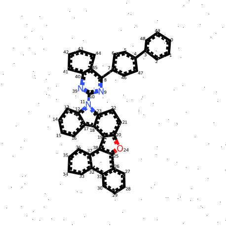 c1ccc(-c2ccc(-c3nc(-n4c5ccccc5c5c6c(ccc54)oc4c5ccccc5c5ccccc5c46)nc4ccccc34)cc2)cc1